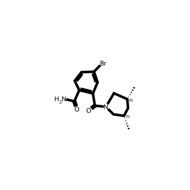 C[C@@H]1C[C@H](C)CN(C(=O)c2cc(Br)ccc2C(N)=O)C1